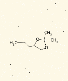 C[CH]CC1COC(C)(C)O1